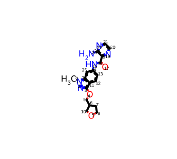 Cn1nc(OCC2CCOC2)c2ccc(NC(=O)c3nccnc3N)cc21